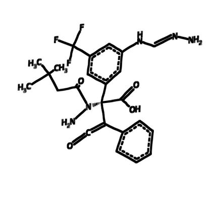 CC(C)(C)CC(=O)N(N)[C@](C(=O)O)(C(=C=O)c1ccccc1)c1cc(NC=NN)cc(C(F)(F)F)c1